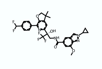 COc1cc(C(=O)NC[C@](O)(c2cc3c(c(-c4ccc(C(F)F)cc4)n2)OCC3(C)C)C(F)(F)F)cc2cn(C3CC3)nc12